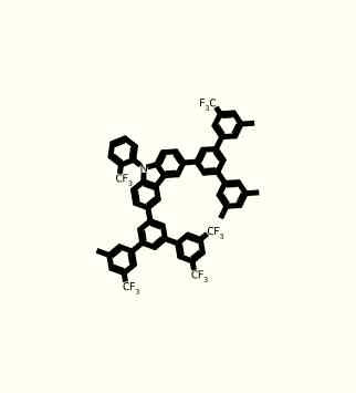 Cc1cc(C)cc(-c2cc(-c3cc(C)cc(C(F)(F)F)c3)cc(-c3ccc4c(c3)c3cc(-c5cc(-c6cc(C)cc(C(F)(F)F)c6)cc(-c6cc(C(F)(F)F)cc(C(F)(F)F)c6)c5)ccc3n4-c3ccccc3C(F)(F)F)c2)c1